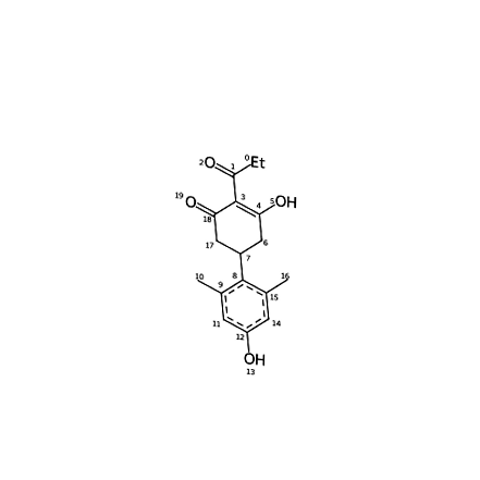 CCC(=O)C1=C(O)CC(c2c(C)cc(O)cc2C)CC1=O